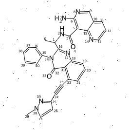 CC(NC(=O)c1c(N)ncc2cccnc12)c1nc2cccc(C#Cc3ccn(C)n3)c2c(=O)n1-c1ccccc1